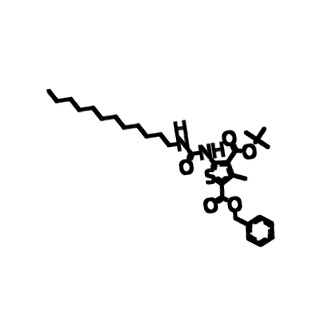 CCCCCCCCCCCCNC(=O)Nc1sc(C(=O)OCc2ccccc2)c(C)c1C(=O)OC(C)(C)C